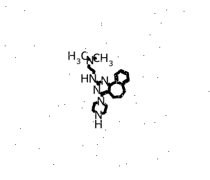 CN(C)CCNc1nc2c(c(N3CCNCC3)n1)CCCc1ccccc1-2